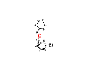 CCc1cccc(COCC2CCCCC2)c1